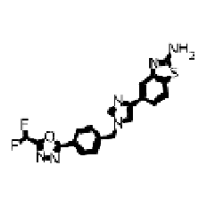 Nc1nc2cc(-c3cn(Cc4ccc(-c5nnc(C(F)F)o5)cc4)cn3)ccc2s1